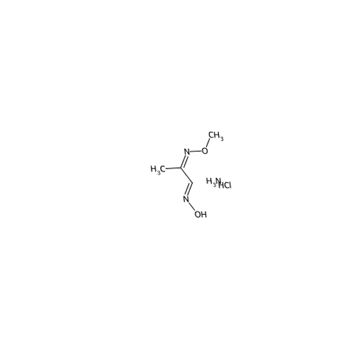 CON=C(C)C=NO.Cl.N